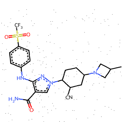 CC1CN(C2CCC(n3cc(C(N)=O)c(Nc4ccc(S(=O)(=O)C(F)(F)F)cc4)n3)C(C#N)C2)C1